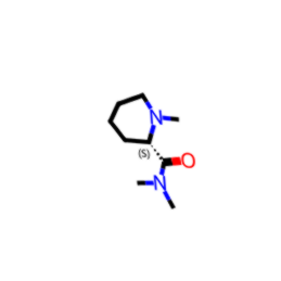 CN(C)C(=O)[C@@H]1CCCCN1C